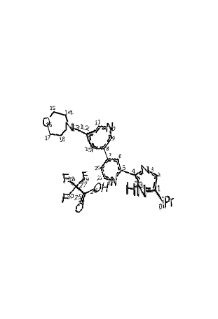 CC(C)c1cnc(-c2cc(-c3cncc(N4CCOCC4)c3)ccn2)[nH]1.O=C(O)C(F)(F)F